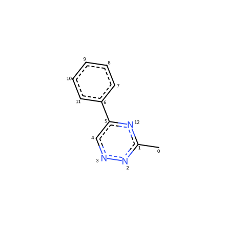 Cc1nncc(-c2ccccc2)n1